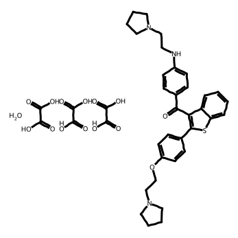 O.O=C(O)C(=O)O.O=C(O)C(=O)O.O=C(O)C(=O)O.O=C(c1ccc(NCCN2CCCC2)cc1)c1c(-c2ccc(OCCN3CCCC3)cc2)sc2ccccc12